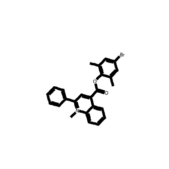 Cc1cc(Br)cc(C)c1OC(=O)c1cc(-c2ccccc2)[n+](C)c2ccccc12